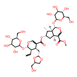 C=C[C@H]1[C@H](O[C@@H]2O[C@H](CO)[C@@H](O)[C@H](O)[C@H]2O)OC=C(C(=O)O[C@H]2C[C@@H]3C(C(=O)OC)=CO[C@@H](O[C@@H]4O[C@H](CO)[C@@H](O)[C@H](O)[C@H]4O)[C@@H]3[C@H]2C)[C@H]1C[C@@H]1OC[C@@H](CO)O1